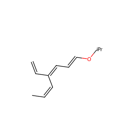 C=CC(/C=C\C)=C/C=C/OC(C)C